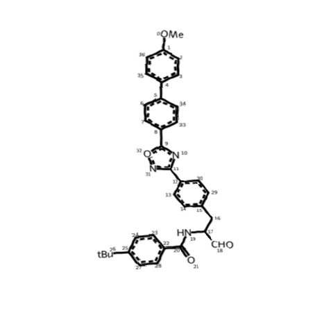 COc1ccc(-c2ccc(-c3nc(-c4ccc(CC(C=O)NC(=O)c5ccc(C(C)(C)C)cc5)cc4)no3)cc2)cc1